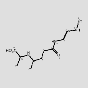 CC(C)NCCNC(=O)CCC(C)NC(C)C(=O)O